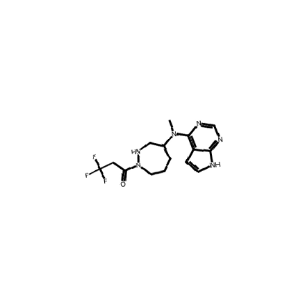 CN(c1ncnc2[nH]ccc12)C1CCCN(C(=O)CC(F)(F)F)NC1